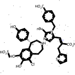 CCCCc1ncc(/C=C(\Cc2cccs2)C(=O)O)n1Cc1ccc(C(=O)O)cc1.CS(=O)(=O)O.Oc1ccc([C@@H]2CNCCc3c2cc(O)c(O)c3Cl)cc1